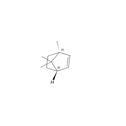 CC1(C)[C@@H]2C=C[C@]1(C)CC2